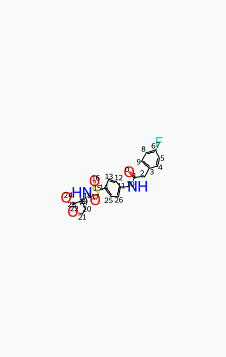 O=C(Cc1ccc(F)cc1)Nc1ccc(S(=O)(=O)N[C@H]2CCOC2=O)cc1